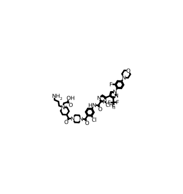 Cn1c(-c2cn(-c3ccc(N4CCOCC4)cc3F)nc2C(F)(F)F)cnc1C(=O)Nc1ccc(C(=O)N2CCN(C(=O)C3CC[N+](CCCN)(CC(=O)O)CC3)CC2)c(Cl)c1